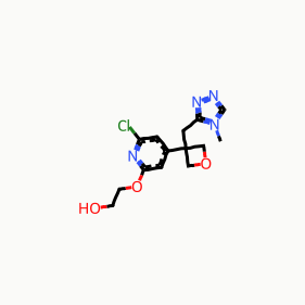 Cn1cnnc1CC1(c2cc(Cl)nc(OCCO)c2)COC1